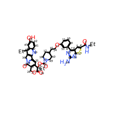 CCNC(=O)c1cc2c(-c3cccc(OCCC4CCN(C(=O)O[C@@]5(CC)C(=O)OCc6c5cc5n(c6=O)Cc6c-5nc5ccc(O)cc5c6CC)CC4)c3)nc(N)nc2s1